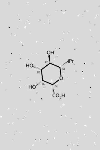 CC(C)[C@@H]1O[C@H](C(=O)O)[C@H](O)[C@H](O)[C@H]1O